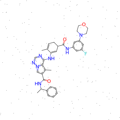 CC1=CCC(C(=O)Nc2cc(F)cc(N3CCOCC3)c2)C=C1Nc1ncnn2cc(C(=O)NC(C)c3ccccc3)c(C)c12